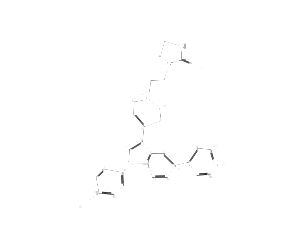 O=C1NCCN1CCN1CC=C(c2cn(-c3ccc(F)cc3)c3ccc(-c4ccncc4)cc23)CC1